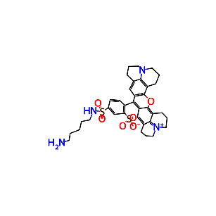 NCCCCCNS(=O)(=O)c1ccc(C2=c3cc4c5c(c3Oc3c2cc2c6c3CCCN6CCC2)CCC[N+]=5CCC4)c(S(=O)(=O)[O-])c1